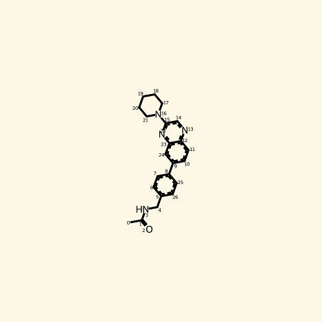 CC(=O)NCc1ccc(-c2ccc3ncc(N4CCCCC4)nc3c2)cc1